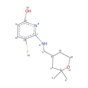 CC1(C)CC(CNc2nc(O)ccc2F)CCO1